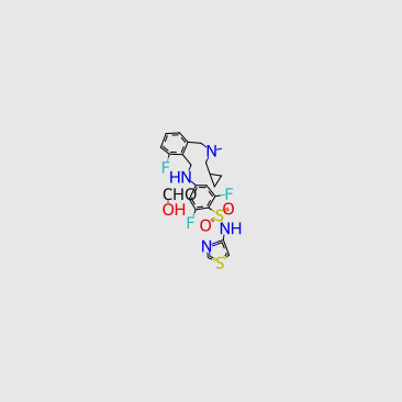 CN(Cc1cccc(F)c1CNc1cc(F)c(S(=O)(=O)Nc2cscn2)c(F)c1)CC1CC1.O=CO